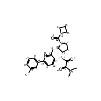 CN(C)C(=O)C(=O)N[C@H]1CCN(C(=O)N2CCC2)[C@H]1Cc1cccc(-c2cccc(F)c2)n1